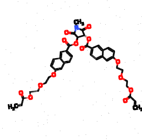 C=CC(=O)OCCOCCOc1ccc2cc(C(=O)O[C@H]3C(=O)N(C)C(=O)[C@@H]3OC(=O)c3ccc4cc(OCCOCCOC(=O)C=C)ccc4c3)ccc2c1